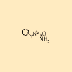 CC(c1ccccc1)N1C[C@@H]1C(N)=O